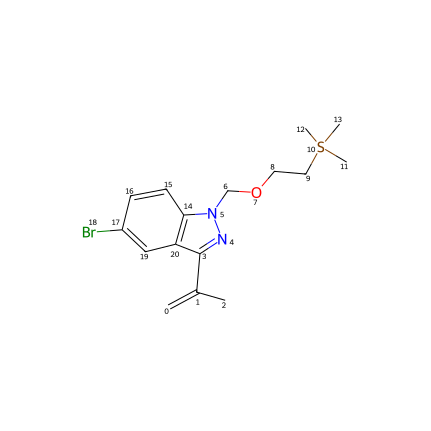 C=C(C)c1nn(COCCS(C)(C)C)c2ccc(Br)cc12